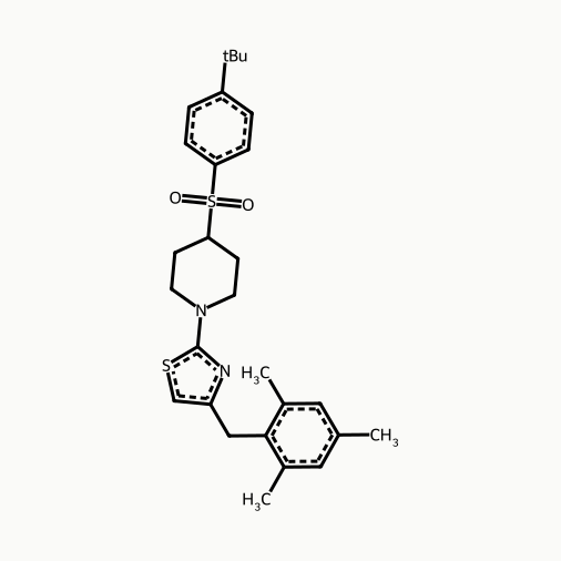 Cc1cc(C)c(Cc2csc(N3CCC(S(=O)(=O)c4ccc(C(C)(C)C)cc4)CC3)n2)c(C)c1